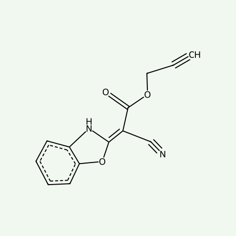 C#CCOC(=O)C(C#N)=C1Nc2ccccc2O1